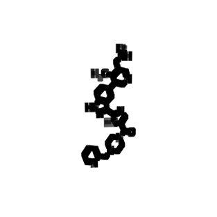 CCNCc1cncc(-c2ccc3[nH]nc(-c4ncc(C(=O)N5CCN(Cc6ccccn6)CC5)[nH]4)c3c2)c1C